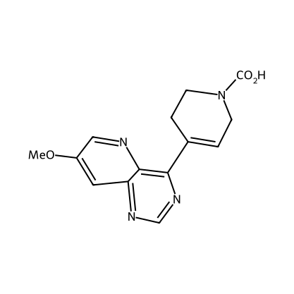 COc1cnc2c(C3=CCN(C(=O)O)CC3)ncnc2c1